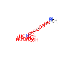 Cc1cnnn1CCOCCOCCOCCOCCOCCOCCOCCOCCN(C[C@H](O)[C@@H](O)[C@H](O)[C@H](O)CO)C[C@H](O)[C@@H](O)[C@H](O)[C@H](O)CO